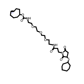 O=C(CCN1C(=O)CC(SC2CCCCCC2)C1=O)NCCOCCOCCOCCNC(=O)OC1CC/C=C/CCC1